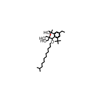 CCc1cc(C(C)(C)C)c(C(OCCCCCCCCCCC(C)C)C(CO)(CO)CO)c(C(C)(C)C)c1